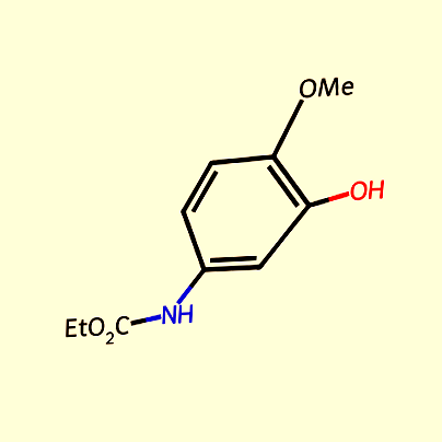 CCOC(=O)Nc1ccc(OC)c(O)c1